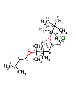 CC(C)CCOC(C)(C)C(C)(C)CC(CCl)OC(C)(C)C(C)(C)C